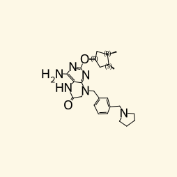 C[C@@H]1C[C@H](Oc2nc(N)c3c(n2)N(Cc2cccc(CN4CCCC4)c2)CC(=O)N3)C[C@@H]1C